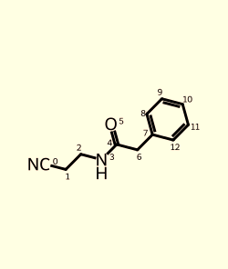 N#CCCNC(=O)Cc1ccccc1